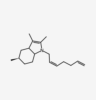 C=CCC/C=C\CN1C(C)=C(C)C2C[C@H](C)CCC21